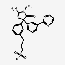 CN1C(=O)C(c2cccc(CCCS(=O)(=O)O)c2)(c2cccc(-c3ncccn3)c2)N=C1N